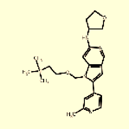 Cc1cc(-c2cc3cnc(NC4CCOC4)cc3n2COCC[Si](C)(C)C)ccn1